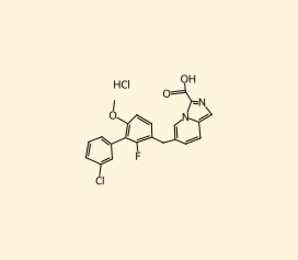 COc1ccc(Cc2ccc3cnc(C(=O)O)n3c2)c(F)c1-c1cccc(Cl)c1.Cl